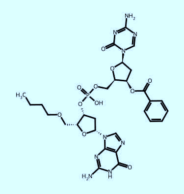 CCCCOC[C@H]1O[C@@H](n2cnc3c(=O)[nH]c(N)nc32)C[C@H]1OP(=O)(O)OC[C@H]1O[C@@H](n2cnc(N)nc2=O)C[C@H]1OC(=O)c1ccccc1